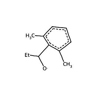 CCC([O])c1c(C)cccc1C